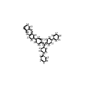 c1ccc(-c2ccc(N(c3ccc(-c4ccccc4)cc3)c3ccc(-c4ccc5c(c4)Sc4ccccc4S5)cc3)cc2)cc1